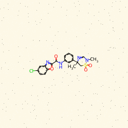 CN1C=NC(C)(c2cccc(NC(=O)c3nc4cc(Cl)ccc4o3)c2)CS1(=O)=O